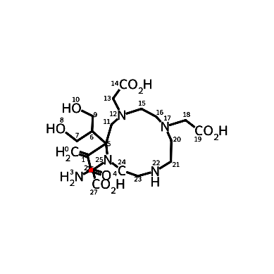 C=C(C(N)=O)C1(C(CO)CO)CN(CC(=O)O)CCN(CC(=O)O)CCNCCN1CC(=O)O